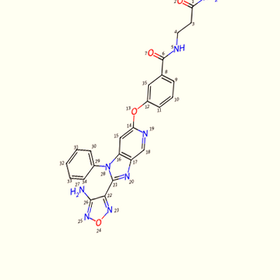 NC(=O)CCNC(=O)c1cccc(Oc2cc3c(cn2)nc(-c2nonc2N)n3-c2ccccc2)c1